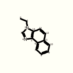 CCn1cnc2c3ccccc3ccc21